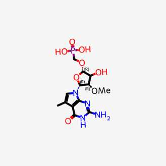 CO[C@@H]1C(O)[C@@H](OCP(=O)(O)O)O[C@H]1n1cc(C)c2c(=O)[nH]c(N)nc21